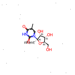 CCCCC[C@@]1(n2cc(C)c(=O)[nH]c2=O)O[C@H](CO)[C@@H](O)[C@H]1O